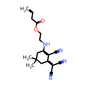 C=CCC(=O)OCCNC1=C(C#N)C(=C(C#N)C#N)CC(C)(C)C1